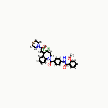 CCOc1ccccc1C(=O)Nc1ccc(C(=O)N2CCC(F)(F)C(=CC(=O)N3CCSCC3)c3ccccc32)cc1